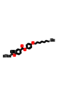 CCCCCC[C@@H](C)Oc1ccc(C(=O)Oc2ccc(OCCCCCCC[C@@H](C)CC)cc2)cc1